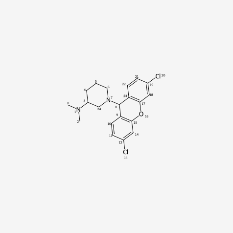 CN(C)C1CCCN(C2c3ccc(Cl)cc3Oc3cc(Cl)ccc32)C1